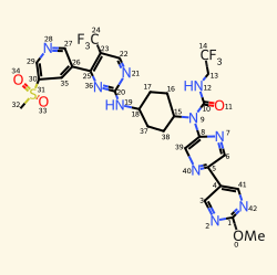 COc1ncc(-c2cnc(N(C(=O)NCC(F)(F)F)C3CCC(Nc4ncc(C(F)(F)F)c(-c5cncc(S(C)(=O)=O)c5)n4)CC3)cn2)cn1